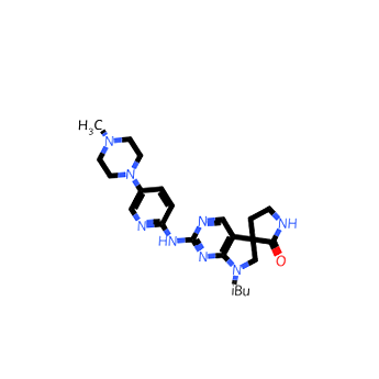 CCC(C)N1CC2(CCNC2=O)c2cnc(Nc3ccc(N4CCN(C)CC4)cn3)nc21